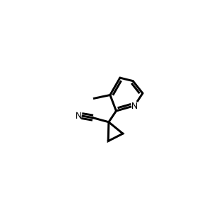 Cc1cccnc1C1(C#N)CC1